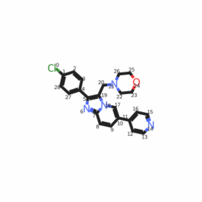 Clc1ccc(-c2nc3ccc(-c4ccncc4)cn3c2CN2CCOCC2)cc1